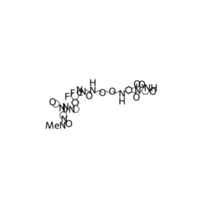 CNC(=O)N1CCc2c(c(N3CCCc4cc(-c5cnn(CC(=O)NCCOCCOCCNc6ccc7c(c6)C(=O)N(C6CCC(=O)NC6=O)C7=O)c5)c(C(F)F)cc43)nn2C2CCOCC2)C1